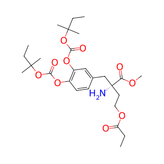 CCC(=O)OCC[C@@](N)(Cc1ccc(OC(=O)OC(C)(C)CC)c(OC(=O)OC(C)(C)CC)c1)C(=O)OC